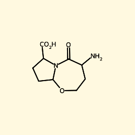 NC1CCOC2CCC(C(=O)O)N2C1=O